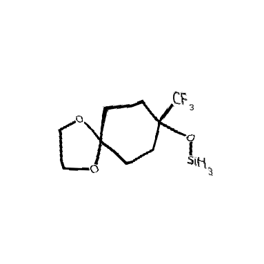 FC(F)(F)C1(O[SiH3])CCC2(CC1)OCCO2